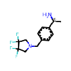 C[C@H](N)c1ccc(CN2CC(F)(F)C(F)(F)C2)cc1